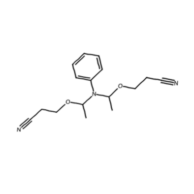 CC(OCCC#N)N(c1ccccc1)C(C)OCCC#N